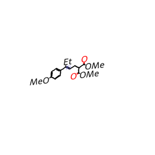 CC/C(=C\CC(C(=O)OC)C(=O)OC)c1ccc(OC)cc1